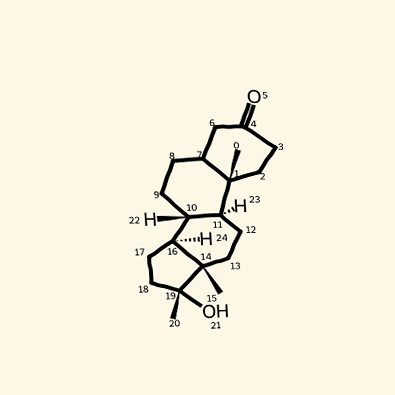 C[C@]12CCC(=O)CC1CC[C@@H]1[C@@H]2CC[C@@]2(C)[C@H]1CC[C@@]2(C)O